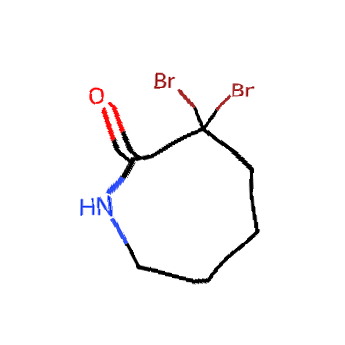 O=C1NCCCCC1(Br)Br